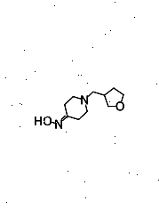 ON=C1CCN(CC2CCOC2)CC1